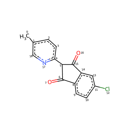 Cc1ccc(C2C(=O)c3ccc(Cl)cc3C2=O)nc1